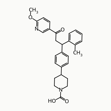 COc1ccc(C(=O)CC(c2ccc(C3CCN(C(=O)O)CC3)cc2)c2ccccc2C)cn1